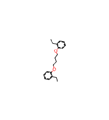 CCc1ccccc1OCCCCOc1ccccc1CC